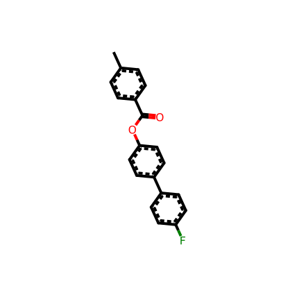 Cc1ccc(C(=O)Oc2ccc(-c3ccc(F)cc3)cc2)cc1